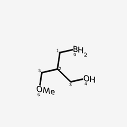 BCC(CO)COC